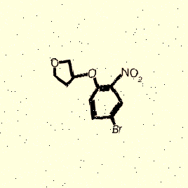 O=[N+]([O-])c1cc(Br)ccc1OC1CCOC1